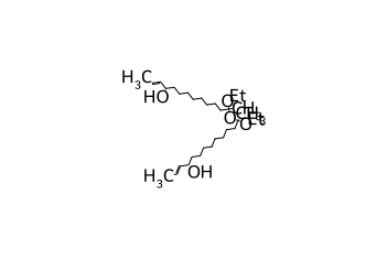 CC=CC(O)CCCCCCCCC(C)(OCC)OC(C)(CCCCCCCCC(O)C=CC)OCC